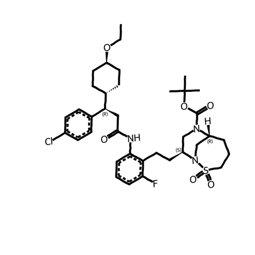 CCO[C@H]1CC[C@H]([C@@H](CC(=O)Nc2cccc(F)c2CC[C@H]2CN(C(=O)OC(C)(C)C)[C@@H]3CCCS(=O)(=O)N2C3)c2ccc(Cl)cc2)CC1